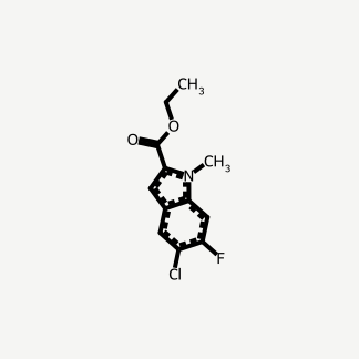 CCOC(=O)c1cc2cc(Cl)c(F)cc2n1C